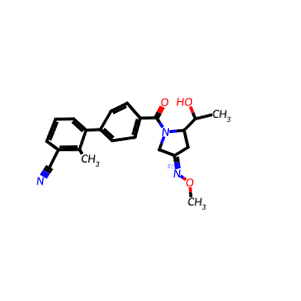 CO/N=C1\CC(C(C)O)N(C(=O)c2ccc(-c3cccc(C#N)c3C)cc2)C1